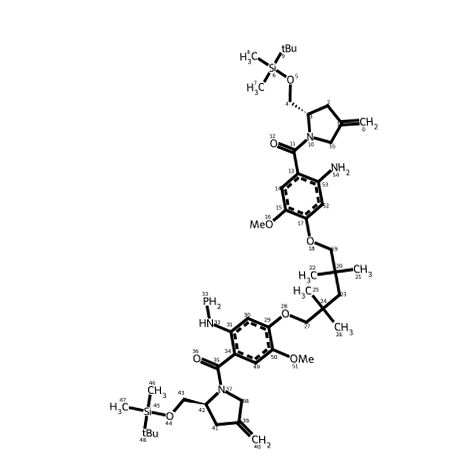 C=C1C[C@@H](CO[Si](C)(C)C(C)(C)C)N(C(=O)c2cc(OC)c(OCC(C)(C)CC(C)(C)COc3cc(NP)c(C(=O)N4CC(=C)C[C@H]4CO[Si](C)(C)C(C)(C)C)cc3OC)cc2N)C1